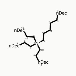 CCCCCCCCCCCCCCC[N+](CCCCCCCCCCCC)(CCCCCCCCCCCC)CCCCCCCCCCCC